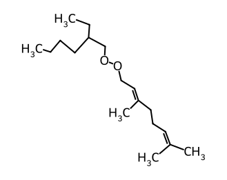 CCCCC(CC)COOC/C=C(\C)CCC=C(C)C